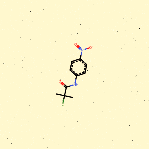 CC(C)(Cl)C(=O)Nc1ccc([N+](=O)[O-])cc1